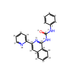 O=C(Nc1ccccc1)Nc1nc(-c2ccccn2)cc2ccccc12